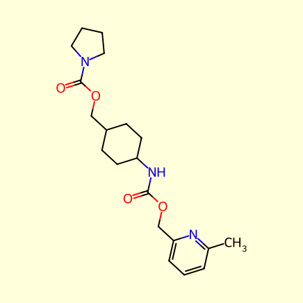 Cc1cccc(COC(=O)NC2CCC(COC(=O)N3CCCC3)CC2)n1